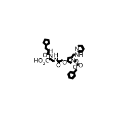 O=C(COC1CC(CNc2ccccn2)N(OC(=O)OCc2ccccc2)C1)NCC(NC(=O)CCC1CCCC1)C(=O)O